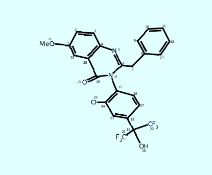 COc1ccc2nc(Cc3ccccc3)n(-c3ccc(C(O)(C(F)(F)F)C(F)(F)F)cc3Cl)c(=O)c2c1